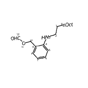 CCCCCCCCCCNc1ccccc1COC=O